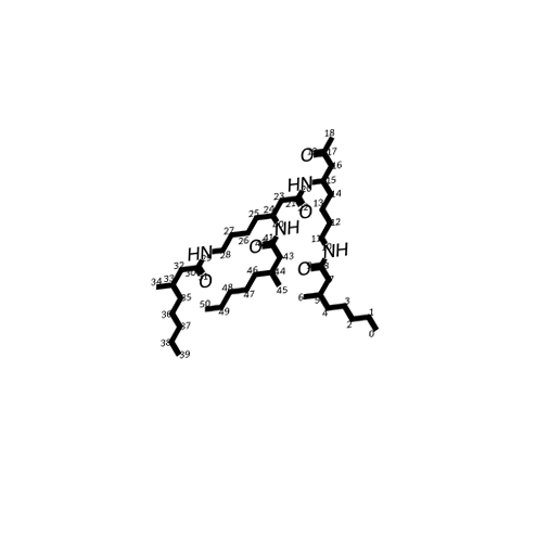 CCCCCC(C)CC(=O)NCCCCC(CC(C)=O)NC(=O)CC(CCCCNC(=O)CC(C)CCCCC)NC(=O)CC(C)CCCCC